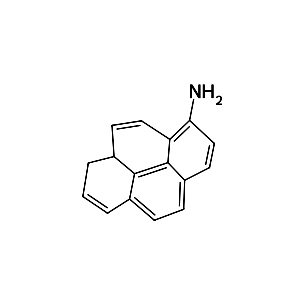 Nc1ccc2ccc3c4c2c1C=CC4CC=C3